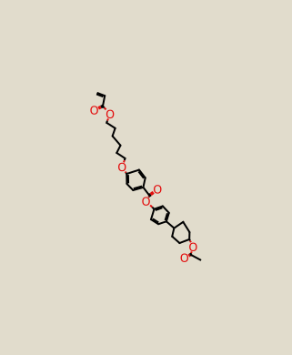 C=CC(=O)OCCCCCCOc1ccc(C(=O)Oc2ccc(C3CCC(OC(C)=O)CC3)cc2)cc1